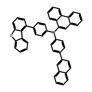 c1ccc2cc(-c3ccc(N(c4ccc(-c5cccc6oc7ccccc7c56)cc4)c4cc5ccccc5c5ccccc45)cc3)ccc2c1